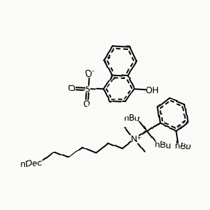 CCCCCCCCCCCCCCCC[N+](C)(C)C(CCCC)(CCCC)c1ccccc1CCCC.O=S(=O)([O-])c1ccc(O)c2ccccc12